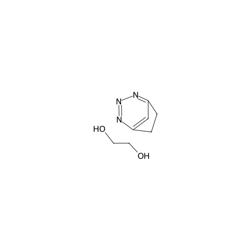 OCCO.c1c2nnnc1CC2